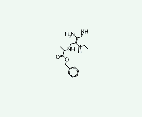 CCN/C(CNC(C)C(=O)OCc1ccccc1)=C(/N)C=N